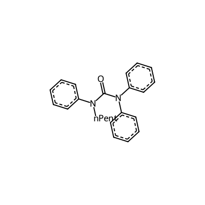 CCCCCN(C(=O)N(c1ccccc1)c1ccccc1)c1ccccc1